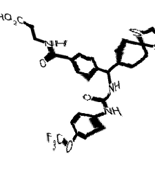 O=C(O)CCNC(=O)c1ccc(C(NC(=O)Nc2ccc(OC(F)(F)F)cc2)C2CCC3(CC2)SCCS3)cc1